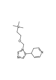 C[Si](C)(C)CCOCn1cncc1C1C=CN=CC1